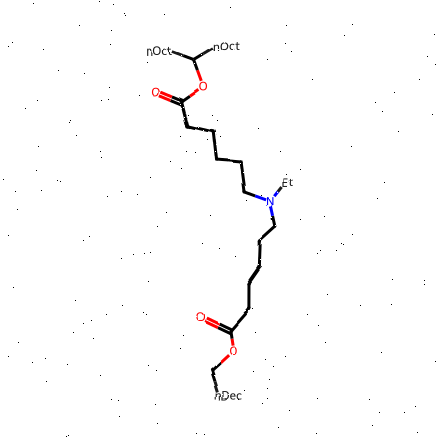 CCCCCCCCCCCOC(=O)CCCCCN(CC)CCCCCC(=O)OC(CCCCCCCC)CCCCCCCC